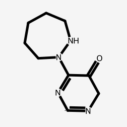 O=C1CN=[C]N=C1N1CCCCCN1